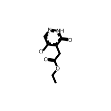 CCOC(=O)Cc1c(Cl)cn[nH]c1=O